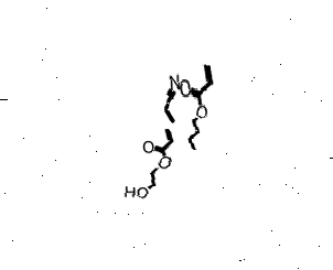 C=CC#N.C=CC(=O)OCCCC.C=CC(=O)OCCO